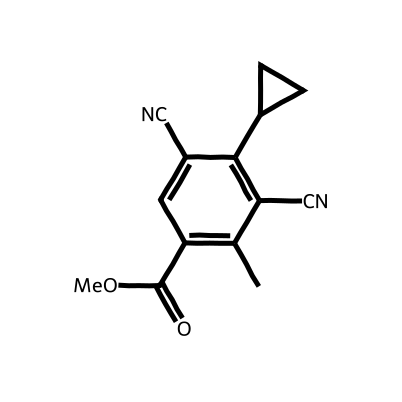 COC(=O)c1cc(C#N)c(C2CC2)c(C#N)c1C